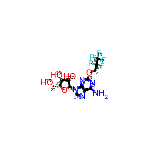 Nc1nc(OCC(F)(F)C(F)(F)F)nc2c1ncn2[C@@H]1O[C@H](CO)[C@@H](O)[C@H]1O